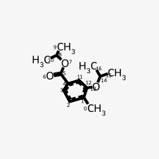 Cc1ccc(C(=O)OC(C)C)cc1OC(C)C